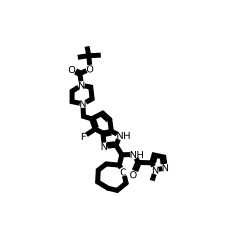 Cn1nccc1C(=O)NC(c1nc2c(F)c(CN3CCN(C(=O)OC(C)(C)C)CC3)ccc2[nH]1)C1CCCCCCC1